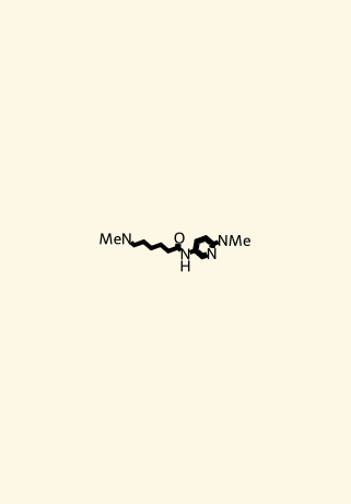 CNCCCCCC(=O)Nc1ccc(NC)nc1